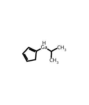 C[CH](C)[GaH][C]1=CC=CC1